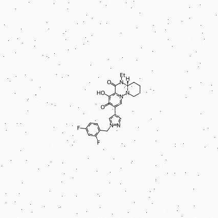 CCN1C(=O)c2c(O)c(=O)c(-c3cnn(Cc4ccc(F)cc4F)c3)cn2N2CCCC[C@@H]12